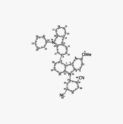 COc1ccc2c(c1)c1c(-c3ccc4c5ccccc5n(-c5ccccc5)c4c3)cccc1n2-c1cc(C#N)ccc1C#N